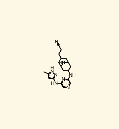 Cc1cc(Nc2cncc(NC3CC4CC(CCC#N)CC(C3)N4)n2)n[nH]1